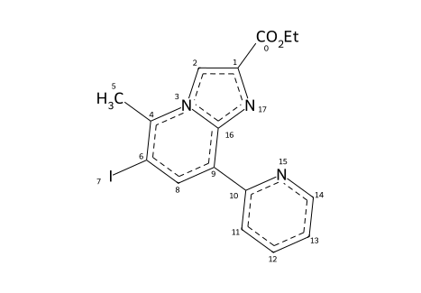 CCOC(=O)c1cn2c(C)c(I)cc(-c3ccccn3)c2n1